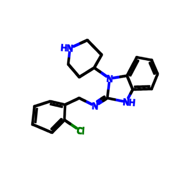 Clc1ccccc1CN=c1[nH]c2ccccc2n1C1CCNCC1